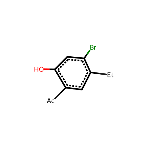 CCc1cc(C(C)=O)c(O)cc1Br